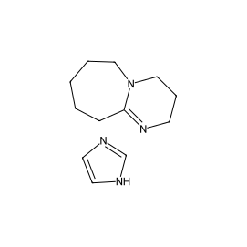 C1CCC2=NCCCN2CC1.c1c[nH]cn1